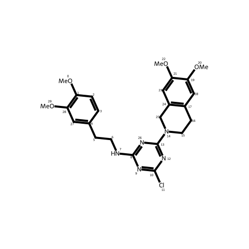 COc1ccc(CCNc2nc(Cl)nc(N3CCc4cc(OC)c(OC)cc4C3)n2)cc1OC